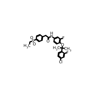 CCS(=O)(=O)c1ccc(CC(=O)Nc2ccc(OC(C)(C)C3=C=C=C(Cl)C=C3F)c(F)c2)cc1